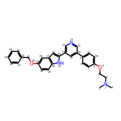 CN(C)CCOc1ccc(-c2cncc(-c3cc4cc(OCc5ccccc5)ccc4[nH]3)c2)cc1